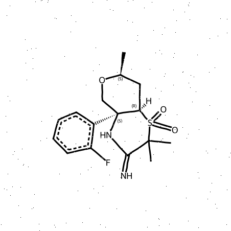 C[C@H]1C[C@@H]2[C@](c3ccccc3F)(CO1)NC(=N)C(C)(C)S2(=O)=O